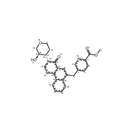 COC(=O)c1ccc(Cc2cc3c(=O)n([C@H]4CCOC[C@@H]4O)cnc3c3ccccc23)cn1